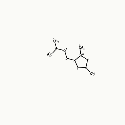 CC(C)OCC1CC(O)CN1C